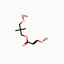 CCOC=CC(=O)OCC(C)(C)COOC